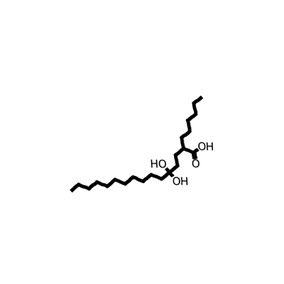 CCCCCCCCCCCC(O)(O)CCC(CCCCCC)C(=O)O